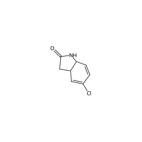 O=C1CC2C=C(Cl)C=CC2N1